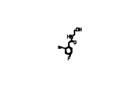 O=C(Cc1ccc(F)cc1Br)NCCO